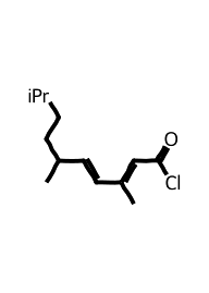 CC(C=CC(C)CCC(C)C)=CC(=O)Cl